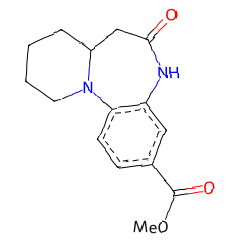 COC(=O)c1ccc2c(c1)NC(=O)CC1CCCCN21